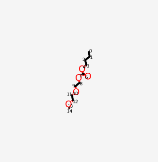 CCCCOC(=O)OCCOCCOC